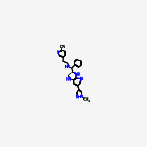 Cn1cc(-c2cnc3c(c2)NC[C@H]([C@H](NCCc2ccc(C#N)nc2)c2ccccc2)N3)cn1